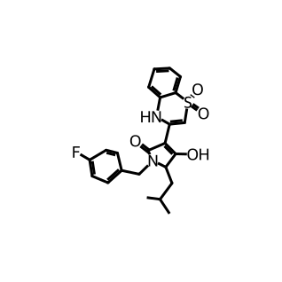 CC(C)CC1C(O)=C(C2=CS(=O)(=O)c3ccccc3N2)C(=O)N1Cc1ccc(F)cc1